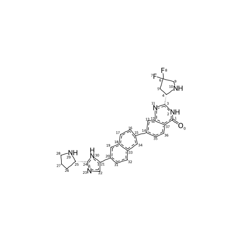 O=c1[nH]c([C@@H]2CC(F)(F)CN2)nc2cc(-c3ccc4cc(-c5cnc([C@@H]6CCCN6)[nH]5)ccc4c3)ccc12